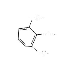 CCCCCCc1c(OC)cccc1OC